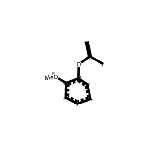 C=C(C)Oc1ccccc1OC